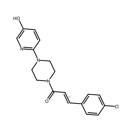 O=C(/C=C/c1ccc(Cl)cc1)N1CCN(c2ccc(O)cn2)CC1